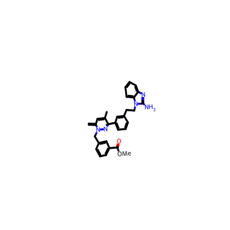 C=C1C=C(C)C(c2cccc(CCn3c(N)nc4ccccc43)c2)=NN1Cc1cccc(C(=O)OC)c1